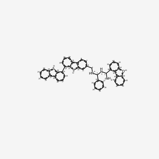 NC(NC(NCc1ccc2c(c1)sc1c(-c3cccc4c3sc3ccccc34)cccc12)c1ccccc1)c1cccc2oc3ccccc3c12